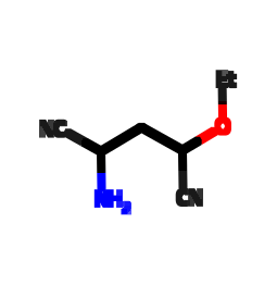 CCOC(C#N)CC(N)C#N